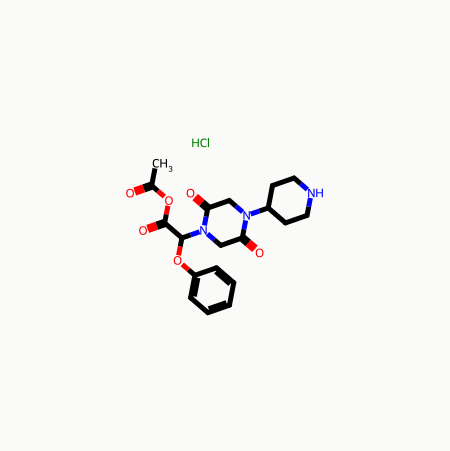 CC(=O)OC(=O)C(Oc1ccccc1)N1CC(=O)N(C2CCNCC2)CC1=O.Cl